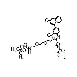 C=CC(=O)N1CC(c2nc3ccc(-c4cc(O)cc5ccccc45)cc3c(=O)n2CCOCCOCCNC(=O)OC(C)(C)C)C1